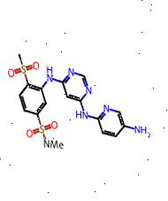 CNS(=O)(=O)c1ccc(S(C)(=O)=O)c(Nc2cc(Nc3ccc(N)cn3)ncn2)c1